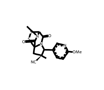 COc1ccc(C2N3C(=O)C4SSC3(C[C@]2(C)C#N)C(=O)N4C)cn1